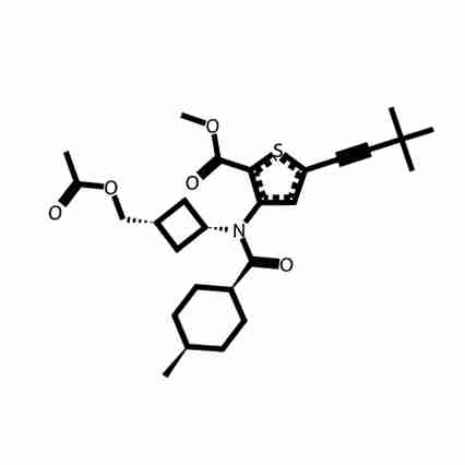 COC(=O)c1sc(C#CC(C)(C)C)cc1N(C(=O)[C@H]1CC[C@@H](C)CC1)[C@H]1C[C@@H](COC(C)=O)C1